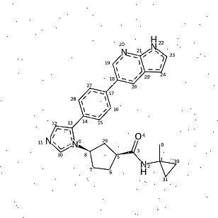 CC1(NC(=O)[C@H]2CC[C@@H](n3cncc3-c3ccc(-c4cnc5[nH]ccc5c4)cc3)C2)CC1